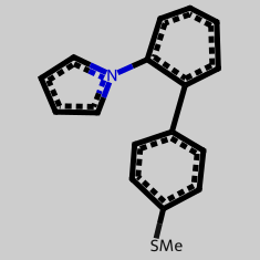 CSc1ccc(-c2ccccc2-n2cccc2)cc1